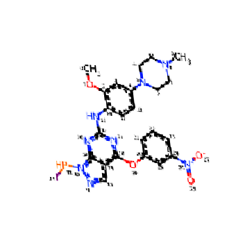 COc1cc(N2CCN(C)CC2)ccc1Nc1nc(Oc2cccc([N+](=O)[O-])c2)c2cnn(PI)c2n1